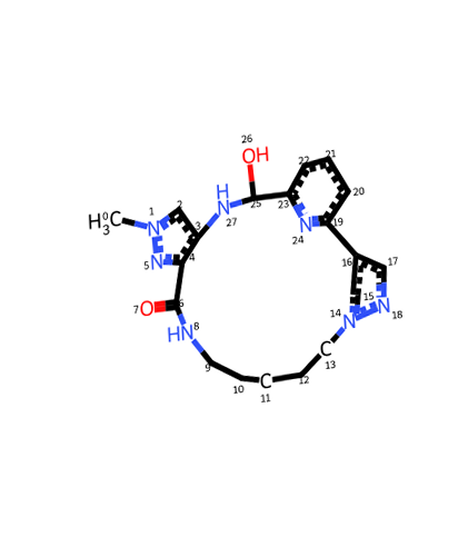 Cn1cc2c(n1)C(=O)NCCCCCn1cc(cn1)-c1cccc(n1)C(O)N2